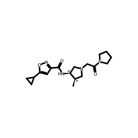 C[C@@H]1CN(CC(=O)N2CCCC2)C[C@@H]1NC(=O)c1cc(C2CC2)on1